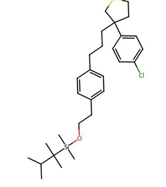 CC(C)C(C)(C)[Si](C)(C)OCCc1ccc(CCCC2(c3ccc(Cl)cc3)CCSC2)cc1